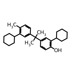 Cc1ccc(C(C)(C)c2ccc(O)c(C3CCCCC3)c2)cc1C1CCCCC1